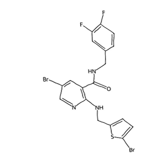 O=C(NCc1ccc(F)c(F)c1)c1cc(Br)cnc1NCc1ccc(Br)s1